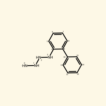 [NH]NNNc1ccccc1-c1ccccc1